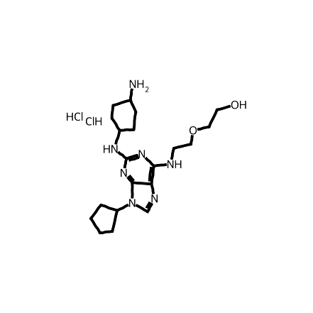 Cl.Cl.NC1CCC(Nc2nc(NCCOCCO)c3ncn(C4CCCC4)c3n2)CC1